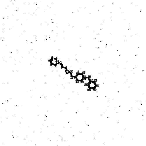 C(=C\c1ccccc1)/COCCC1CCN(Cc2ccccc2)CC1